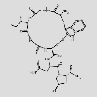 CC[C@H](C)[C@@H]1NC(=O)CNC(=O)C(N)Cc2c([nH]c3ccccc23)SC[C@@H](C(=O)NC(CC(N)=O)C(=O)N2C[C@H](O)C[C@H]2C(N)=O)NC(=O)CNC1=O